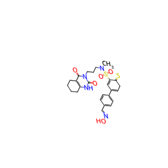 CN(CCCn1c(=O)[nH]c2c(c1=O)CCCC2)S(=O)(=O)C1=CC(c2ccc(/C=N/O)cc2)=CCC1=S